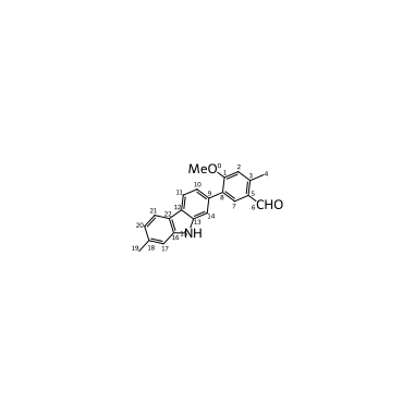 COc1cc(C)c(C=O)cc1-c1ccc2c(c1)[nH]c1cc(C)ccc12